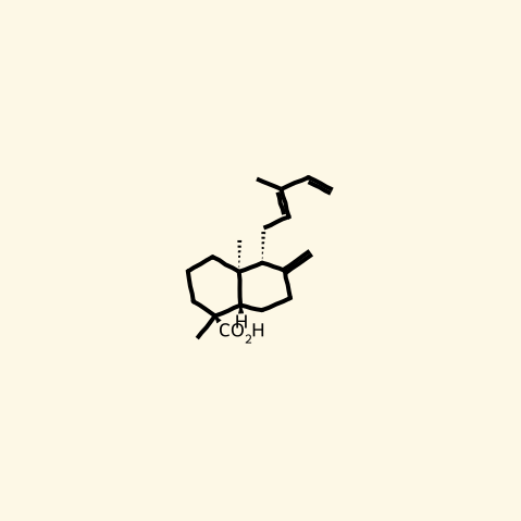 C=C/C(C)=C/C[C@@H]1C(=C)CC[C@H]2[C@@]1(C)CCC[C@]2(C)C(=O)O